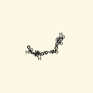 O=C1CC[C@H](N2C(=O)c3ccc(N4CCC(C(=O)N5CCN(CCC6CCN(c7ccc(Nc8ncnc9c8ncn9C8CC(NC(=O)Cc9ccccc9)C8)cc7)CC6)CC5)CC4)cc3C2=O)C(=O)N1